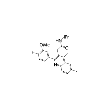 COc1cc(-c2nc3ccc(C)cc3c(C)c2CC(=O)NC(C)C)ccc1F